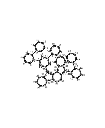 c1ccc(-c2nc(-c3ccccc3-c3ccccc3)nc(-n3c4ccccc4c4ccc5c(c6ccccc6n5-c5ccccc5-c5ccccc5)c43)n2)cc1